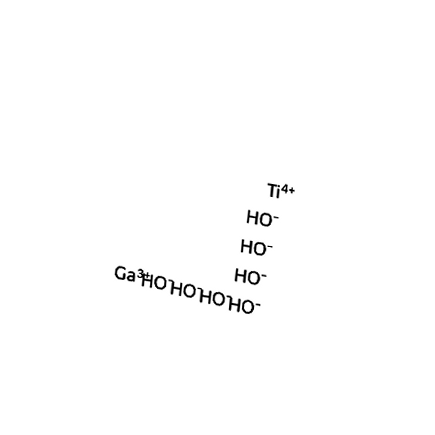 [Ga+3].[OH-].[OH-].[OH-].[OH-].[OH-].[OH-].[OH-].[Ti+4]